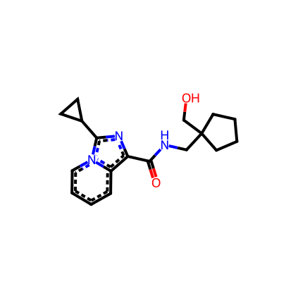 O=C(NCC1(CO)CCCC1)c1nc(C2CC2)n2ccccc12